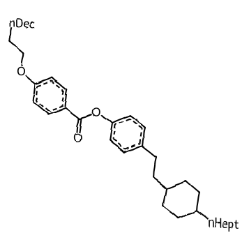 CCCCCCCCCCCCOc1ccc(C(=O)Oc2ccc(CCC3CCC(CCCCCCC)CC3)cc2)cc1